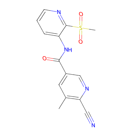 Cc1cc(C(=O)Nc2cccnc2S(C)(=O)=O)cnc1C#N